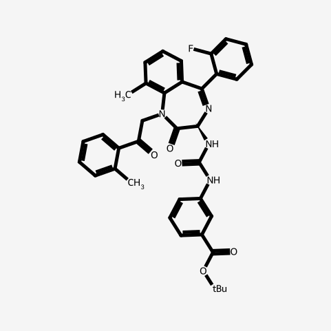 Cc1ccccc1C(=O)CN1C(=O)[C@H](NC(=O)Nc2cccc(C(=O)OC(C)(C)C)c2)N=C(c2ccccc2F)c2cccc(C)c21